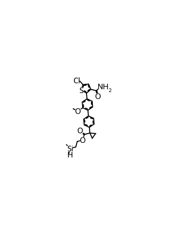 COc1cc(-c2sc(Cl)cc2C(N)=O)ccc1-c1ccc(C2(C(=O)OCC[SiH](C)C)CC2)cc1